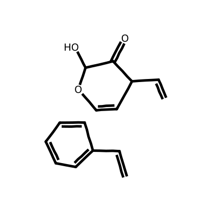 C=CC1C=COC(O)C1=O.C=Cc1ccccc1